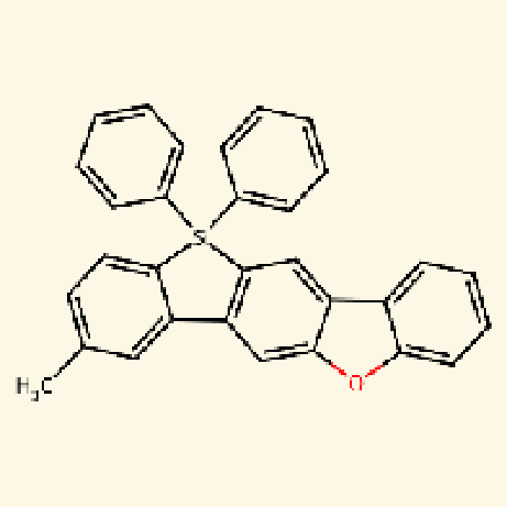 Cc1ccc2c(c1)-c1cc3oc4ccccc4c3cc1[Si]2(c1ccccc1)c1ccccc1